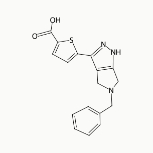 O=C(O)c1ccc(-c2n[nH]c3c2CN(Cc2ccccc2)C3)s1